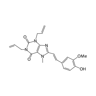 C=CCn1c(=O)c2c(nc(/C=C/c3ccc(O)c(OC)c3)n2C)n(CC=C)c1=O